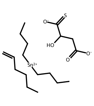 C=CCCCC.CCC[CH2][Sn+2][CH2]CCC.O=C([O-])CC(O)C([O-])=S